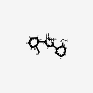 Oc1ccccc1-c1cc(-c2ccccc2F)[nH]n1